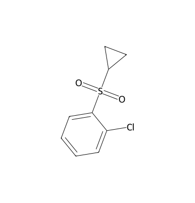 O=S(=O)(c1ccccc1Cl)C1CC1